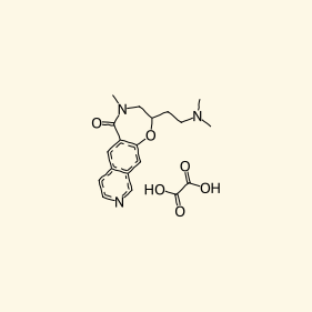 CN(C)CCC1CN(C)C(=O)c2cc3ccncc3cc2O1.O=C(O)C(=O)O